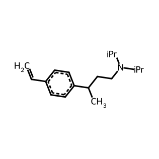 C=Cc1ccc(C(C)CCN(C(C)C)C(C)C)cc1